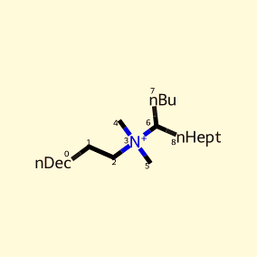 CCCCCCCCCCCC[N+](C)(C)C(CCCC)CCCCCCC